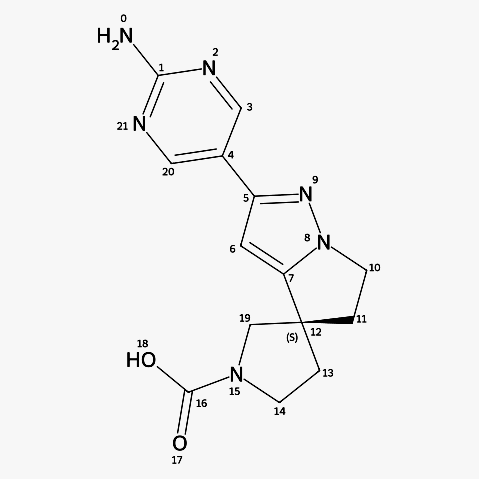 Nc1ncc(-c2cc3n(n2)CC[C@]32CCN(C(=O)O)C2)cn1